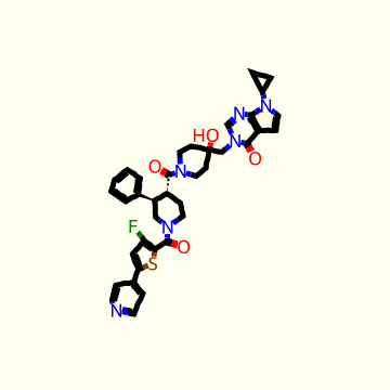 O=C(c1sc(-c2ccncc2)cc1F)N1CC[C@@H](C(=O)N2CCC(O)(Cn3cnc4c(ccn4C4CC4)c3=O)CC2)[C@H](c2ccccc2)C1